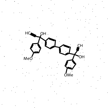 C#CC(O)(c1ccc(OC)cc1)c1ccc(-c2ccc(C(O)(C#C)c3ccc(OC)cc3)cc2)cc1